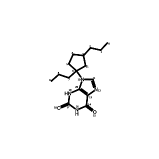 CCCC1CCC(CCC)(n2cnc3c(=O)[nH]c(=O)[nH]c32)C1